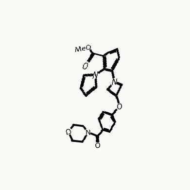 COC(=O)c1cccc(N2CC(Oc3ccc(C(=O)N4CCOCC4)cc3)C2)c1-n1cccc1